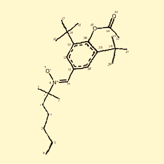 CCCCCC(C)(C)[N+]([O-])=Cc1cc(C(C)(C)C)c(OC(C)=O)c(C(C)(C)C)c1